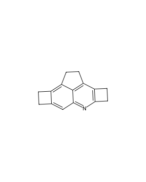 c1c2c(c3c4c(c5c(nc14)CC5)CC3)CC2